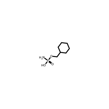 NP(=O)(O)OCC1CCCCC1